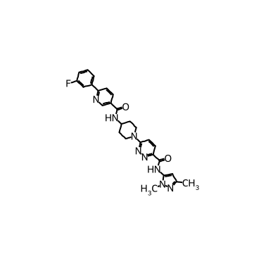 Cc1cc(NC(=O)c2ccc(N3CCC(NC(=O)c4ccc(-c5cccc(F)c5)nc4)CC3)nn2)n(C)n1